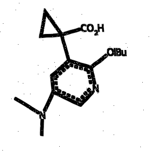 CC(C)COc1ncc(N(C)C)cc1C1(C(=O)O)CC1